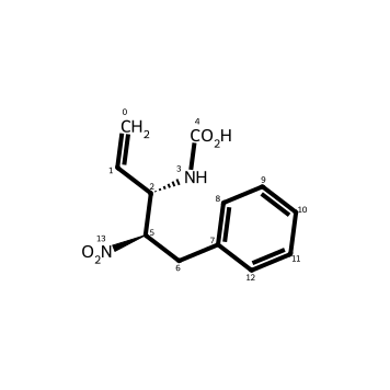 C=C[C@H](NC(=O)O)[C@@H](Cc1ccccc1)[N+](=O)[O-]